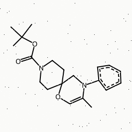 CC1=COC2(CCN(C(=O)OC(C)(C)C)CC2)CN1c1ccccc1